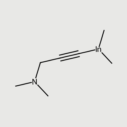 CN(C)CC#[C][In]([CH3])[CH3]